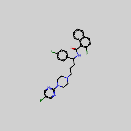 O=C(NC(CCCN1CCN(c2ncc(F)cn2)CC1)c1ccc(F)cc1)c1c(F)ccc2ccccc12